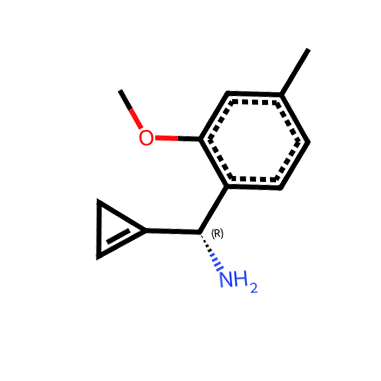 COc1cc(C)ccc1[C@H](N)C1=CC1